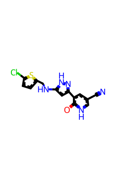 N#Cc1c[nH]c(=O)c(-c2cc(NCc3ccc(Cl)s3)[nH]n2)c1